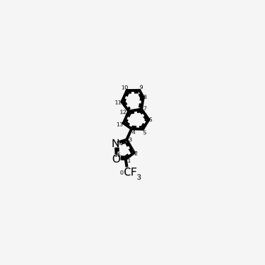 FC(F)(F)c1cc(-c2ccc3ccccc3c2)no1